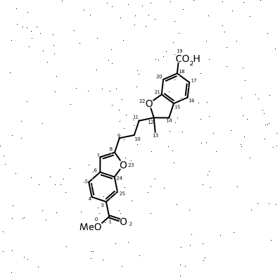 COC(=O)c1ccc2cc(CCCC3(C)Cc4ccc(C(=O)O)cc4O3)oc2c1